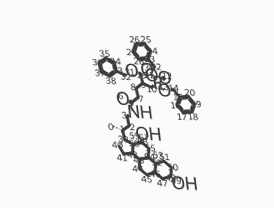 C[C@H](CCNC(=O)CCC(CP(=O)(OCc1ccccc1)OCc1ccccc1)C(=O)OCc1ccccc1)[C@H]1CCC2C3CCC4C[C@H](O)CC[C@]4(C)C3C[C@H](O)[C@@]21C